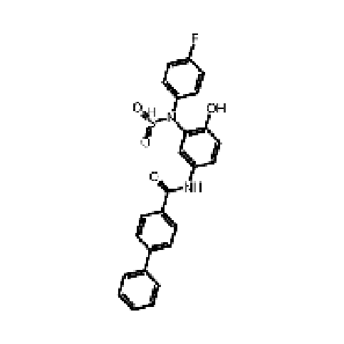 O=C(Nc1ccc(O)c(N(c2ccc(F)cc2)[SH](=O)=O)c1)c1ccc(-c2ccccc2)cc1